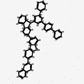 c1ccc(-c2ccc(-c3nc(-c4ccccc4)nc(-n4c5ccccc5c5ccc(-c6ccc7oc8cc(-c9ccc%10ccccc%10c9)ccc8c7c6)cc54)n3)cc2)cc1